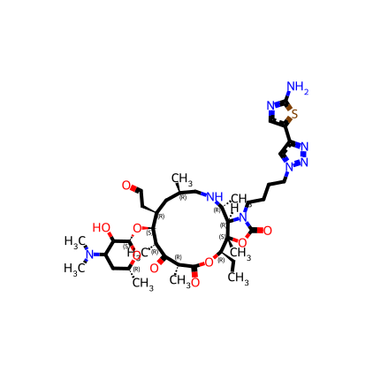 CC[C@H]1OC(=O)[C@H](C)C(=O)[C@H](C)[C@@H](O[C@@H]2O[C@H](C)CC(N(C)C)C2O)[C@@H](CC=O)C[C@@H](C)CN[C@H](C)[C@H]2N(CCCCn3cc(-c4cnc(N)s4)nn3)C(=O)O[C@]12C